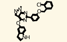 Cn1ncc2c(Oc3ccc4[nH]ccc4c3)nc(-c3cccc(OCc4ccccc4Cl)c3)nc21